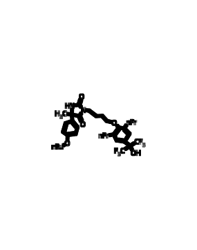 CCCCOc1ccc(C2(C)NC(=O)N(CCCCOc3c(CCC)cc(C(O)(C(F)(F)F)C(F)(F)F)cc3CCC)C2=O)cc1